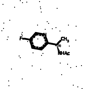 CC(=O)N[C@@H](C)c1ccc(F)cn1